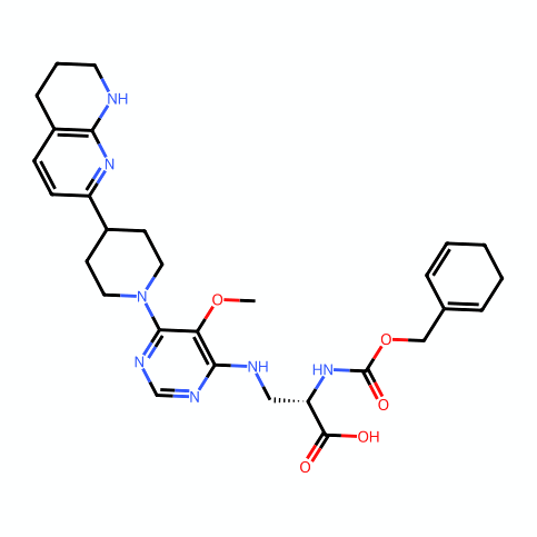 COc1c(NC[C@H](NC(=O)OCC2=CCCC=C2)C(=O)O)ncnc1N1CCC(c2ccc3c(n2)NCCC3)CC1